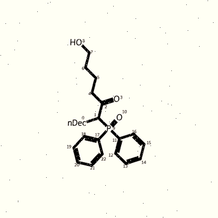 CCCCCCCCCCC(C(=O)CCCCO)P(=O)(c1ccccc1)c1ccccc1